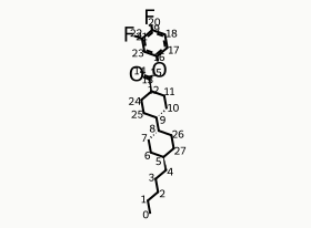 CCCCC[C@H]1CC[C@H]([C@H]2CC[C@H](C(=O)Oc3ccc(F)c(F)c3)CC2)CC1